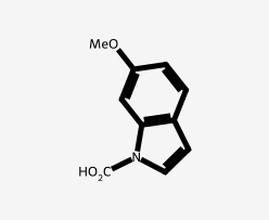 COc1ccc2ccn(C(=O)O)c2c1